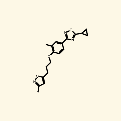 Cc1cc(CCCOc2ccc(-c3noc(C4CC4)n3)cc2C)on1